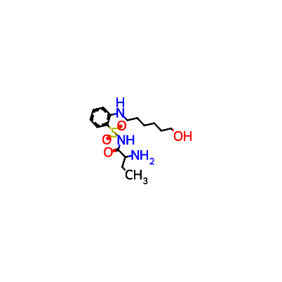 CCC(N)C(=O)NS(=O)(=O)c1ccccc1NCCCCCCO